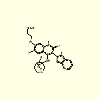 CC(=O)NCCNc1cc2[nH]c(=O)c(-c3nc4ccccc4[nH]3)c(N[C@@H]3CN4CCC3CC4)c2cc1F